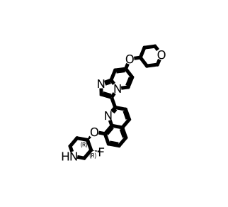 F[C@@H]1CNCC[C@H]1Oc1cccc2ccc(-c3cnc4cc(OC5CCOCC5)ccn34)nc12